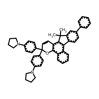 CC1(C)c2cc(-c3ccccc3)ccc2-c2c1c1c(c3ccccc23)OC(c2ccc(N3CCCC3)cc2)(c2ccc(N3CCCC3)cc2)C=C1